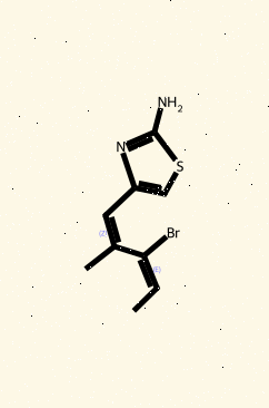 C/C=C(Br)\C(C)=C/c1csc(N)n1